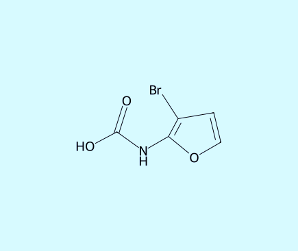 O=C(O)Nc1occc1Br